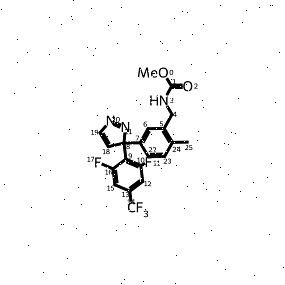 COC(=O)NCc1cc(C2(c3c(F)cc(C(F)(F)F)cc3F)C=CN=N2)ccc1C